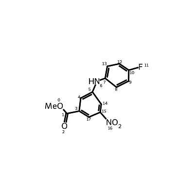 COC(=O)c1cc(Nc2ccc(F)cc2)cc([N+](=O)[O-])c1